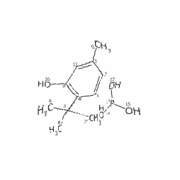 Cc1ccc(C(C)(C)C)c(O)c1.OP(O)O